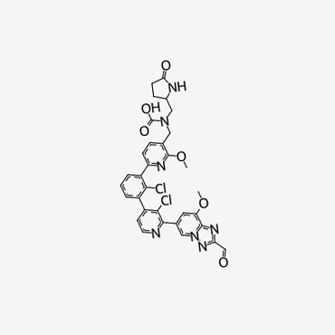 COc1nc(-c2cccc(-c3ccnc(-c4cc(OC)c5nc(C=O)nn5c4)c3Cl)c2Cl)ccc1CN(CC1CCC(=O)N1)C(=O)O